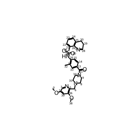 COc1cnc(CN2CCN(C(=O)c3ccc(NS(=O)(=O)c4cccc5c4N=CCC5)c(C)c3)CC2)c(OC)c1